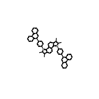 Cc1c(C)n(-c2ccc(-c3cc4ccccc4c4ccccc34)cc2)c2c1ccc1c2ccc2c(C)c(C)n(-c3ccc(-c4cc5ccccc5c5ccccc45)cc3)c21